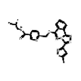 Cc1cc(-c2nnc3c4ccccc4c(OCc4ccc(C(=O)NCC(F)F)cn4)nn23)no1